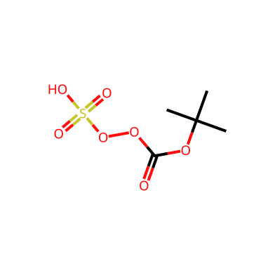 CC(C)(C)OC(=O)OOS(=O)(=O)O